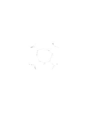 O=[N+]([O-])C1CC([N+](=O)[O-])CN([N+](=O)[O-])CC([N+](=O)[O-])C1